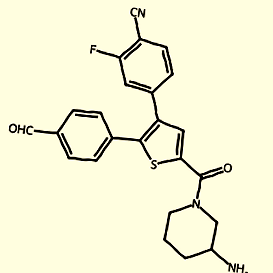 N#Cc1ccc(-c2cc(C(=O)N3CCCC(N)C3)sc2-c2ccc(C=O)cc2)cc1F